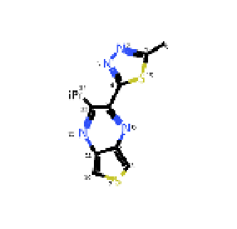 Cc1nnc(-c2nc3cscc3nc2C(C)C)s1